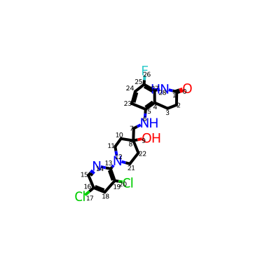 O=C1CCc2c(NCC3(O)CCN(c4ncc(Cl)cc4Cl)CC3)ccc(F)c2N1